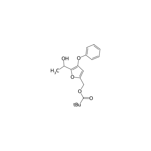 CC(O)c1oc(COC(=O)C(C)(C)C)cc1Oc1ccccc1